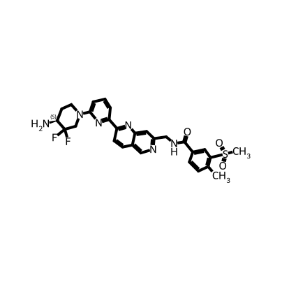 Cc1ccc(C(=O)NCc2cc3nc(-c4cccc(N5CC[C@H](N)C(F)(F)C5)n4)ccc3cn2)cc1S(C)(=O)=O